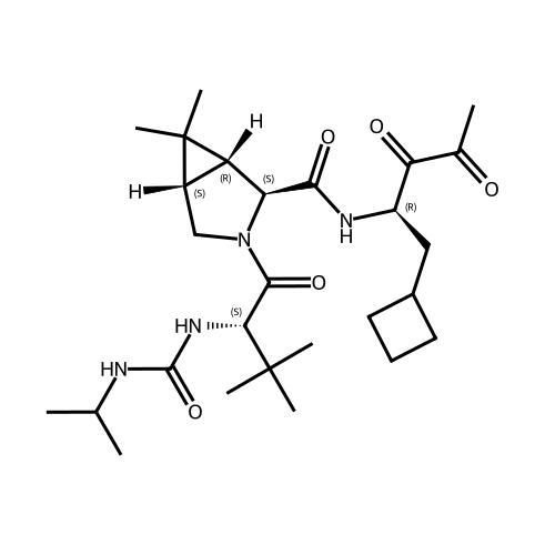 CC(=O)C(=O)[C@@H](CC1CCC1)NC(=O)[C@@H]1[C@@H]2[C@H](CN1C(=O)[C@@H](NC(=O)NC(C)C)C(C)(C)C)C2(C)C